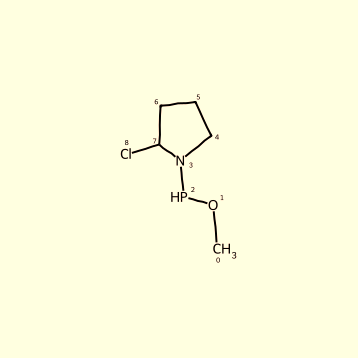 COPN1CCCC1Cl